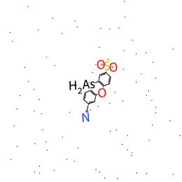 CS(=O)(=O)c1ccc(Oc2cccc(C#N)c2)c([AsH2])c1